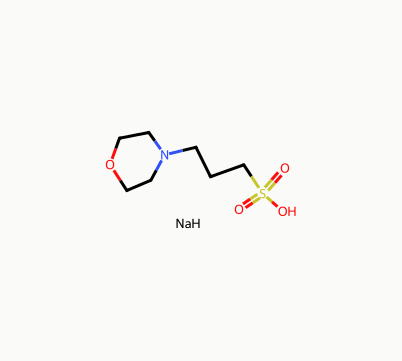 O=S(=O)(O)CCCN1CCOCC1.[NaH]